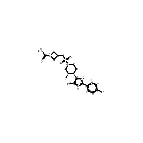 C[C@H]1CN(S(=O)(=O)CC2CN(C(N)=O)C2)CC[C@H]1c1[nH]c(-c2ccc(F)cn2)nc1Cl